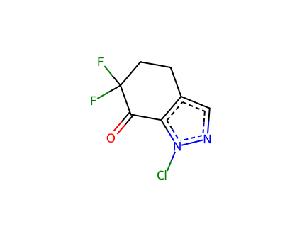 O=C1c2c(cnn2Cl)CCC1(F)F